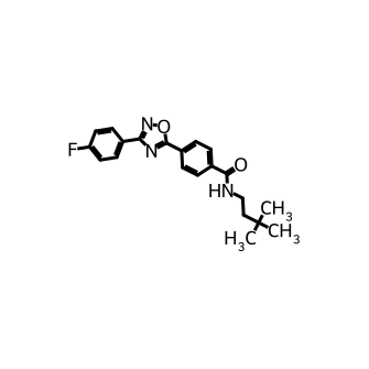 CC(C)(C)CCNC(=O)c1ccc(-c2nc(-c3ccc(F)cc3)no2)cc1